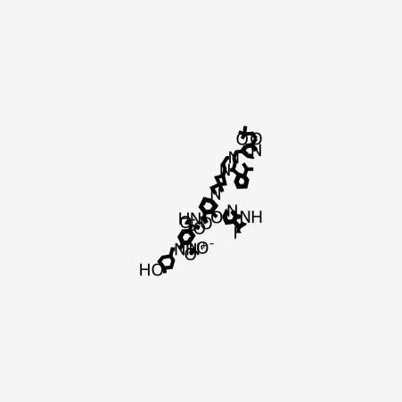 CC(C)c1ccccc1C1CN(Cc2ccnc3c2OC(C)(C)CO3)CCN1C1CC2(C1)CN(c1ccc(C(=O)NS(=O)(=O)c3ccc(NCC4CCC(C)(O)CC4)c([N+](=O)[O-])c3)c(Oc3cnc4[nH]cc(F)c4c3)c1)C2